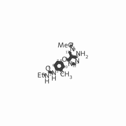 CCNC(=O)Nc1ccc(Oc2ncnc(N)c2C=NOC)cc1C